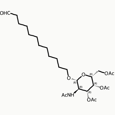 CC(=O)N[C@H]1[C@H](OCCCCCCCCCCCC=O)O[C@H](COC(C)=O)[C@H](OC(C)=O)[C@@H]1OC(C)=O